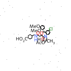 COc1cccc([C@H]2O[C@H](CC(=O)NCC3CCC(C(=O)O)CC3)C(=O)N(CC(C)(C)COC(C)=O)c3ccc(Cl)cc32)c1OC